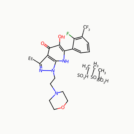 CCc1nn(CCN2CCOCC2)c2[nH]c(-c3cccc(C(F)(F)F)c3F)c(O)c(=O)c12.CS(=O)(=O)O.CS(=O)(=O)O.CS(=O)(=O)O